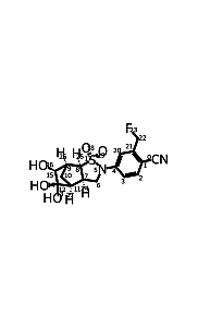 N#Cc1ccc(N2C[C@@H]3[C@@H]([C@H]4C[C@@H]3C(O)(O)[C@H]4O)S2(=O)=O)cc1CF